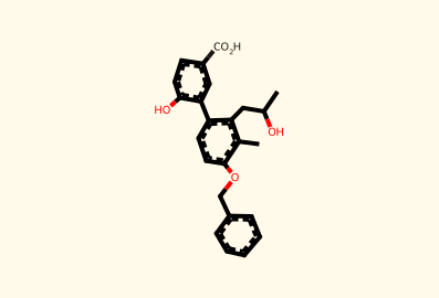 Cc1c(OCc2ccccc2)ccc(-c2cc(C(=O)O)ccc2O)c1CC(C)O